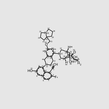 C#Cc1c(F)ccc2cc(O)cc(N3CCc4c(nc(OCC56CCCN5CCC6)nc4N4C[C@@H]5CC(C)(O)[C@H](C4)N5C(=O)C=C)C3)c12